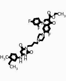 CCOC(=O)c1cn(-c2ccc(F)cc2F)c2cc(N3CCN(CCCCn4c(=O)cc(Nc5ccc(C)c(CC)c5)[nH]c4=O)CC3)c(F)cc2c1=O